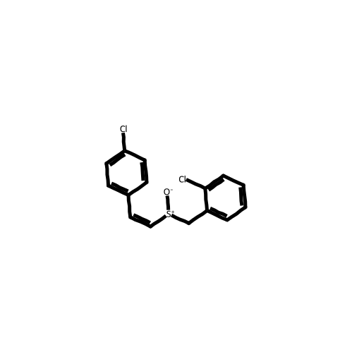 [O-][S+](/C=C\c1ccc(Cl)cc1)Cc1ccccc1Cl